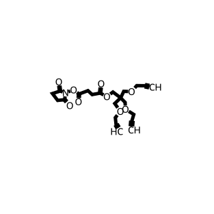 C#CCOCC(COCC#C)(COCC#C)COC(=O)CCC(=O)ON1C(=O)CCC1=O